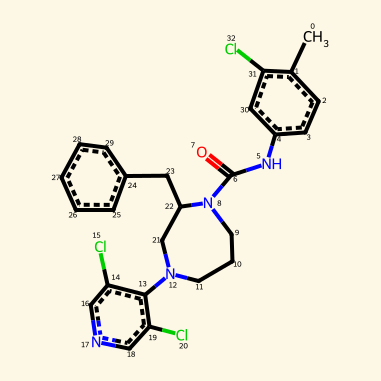 Cc1ccc(NC(=O)N2CCCN(c3c(Cl)cncc3Cl)CC2Cc2ccccc2)cc1Cl